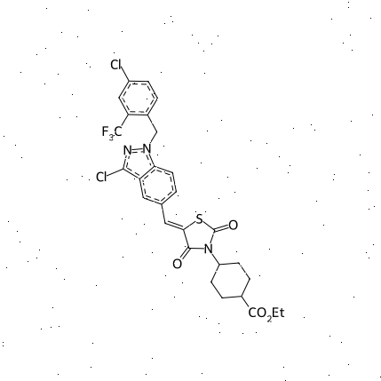 CCOC(=O)C1CCC(N2C(=O)S/C(=C\c3ccc4c(c3)c(Cl)nn4Cc3ccc(Cl)cc3C(F)(F)F)C2=O)CC1